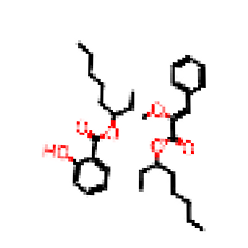 CCCCCC(CC)OC(=O)C(=Cc1ccccc1)OC.CCCCCC(CC)OC(=O)c1ccccc1O